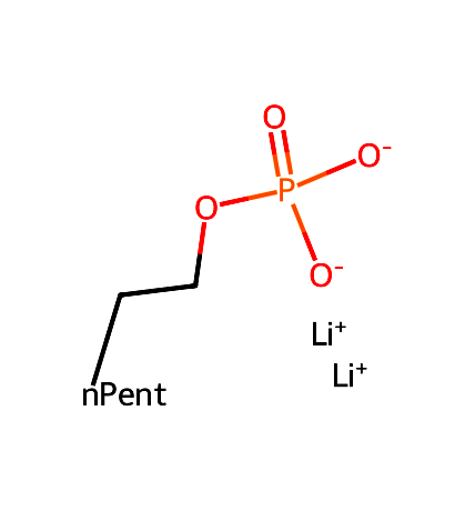 CCCCCCCOP(=O)([O-])[O-].[Li+].[Li+]